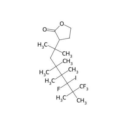 CC(C)(CC(C)(C)C(C)(C)C(F)(I)C(C)(C)C(F)(F)F)C1CCOC1=O